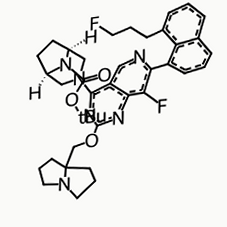 CC(C)(C)OC(=O)N1[C@@H]2CC[C@H]1CN(c1nc(OCC34CCCN3CCC4)nc3c(F)c(-c4cccc5cccc(CCCF)c45)ncc13)C2